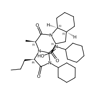 CCC[C@@H]1C(=O)N(C2CCCCC2)C(=NC2CCCCC2)N1[C@@H](C)C(=O)N1[C@H](C(=O)O)C[C@@H]2CCCC[C@@H]21